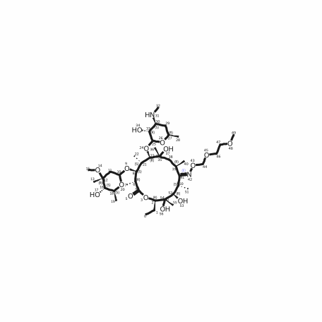 CC[C@H]1OC(=O)[C@H](C)[C@@H](OC2C[C@@](C)(OC)[C@@H](O)[C@H](C)O2)[C@H](C)[C@@H](OC2O[C@H](C)C[C@H](NC)[C@H]2O)[C@](C)(O)C[C@@H](C)/C(=N\OCOCCOC)[C@H](C)[C@@H](O)[C@]1(C)O